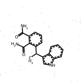 CC(c1cccc(C(N)=O)c1C(N)=O)c1c[nH]c2ccccc12